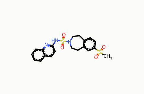 CS(=O)(=O)c1ccc2c(c1)CCN(S(=O)(=O)Nc1ccc3ccccc3n1)CC2